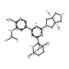 Nc1ncc(-c2cc(N3C[C@@H]4CC[C@H]3CO4)nc(N3C[C@H]4COC[C@H]4C3)n2)cc1OC(F)F